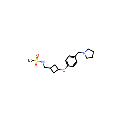 CCS(=O)(=O)NCC1CC(Oc2ccc(CN3CCCC3)cc2)C1